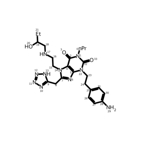 CCCn1c(=O)c2c(nc(Cc3nnn[nH]3)n2CCNCC(O)CC)n(CCc2ccc(N)cc2)c1=O